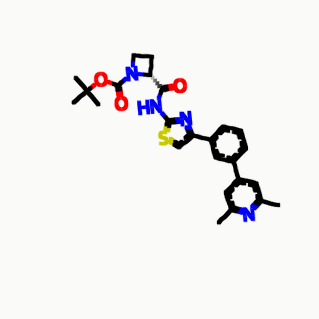 Cc1cc(-c2cccc(-c3csc(NC(=O)[C@H]4CCN4C(=O)OC(C)(C)C)n3)c2)cc(C)n1